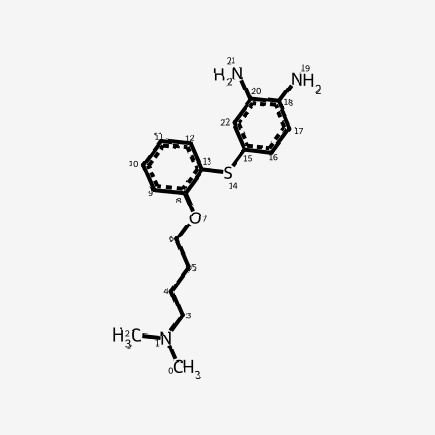 CN(C)CCCCOc1ccccc1Sc1ccc(N)c(N)c1